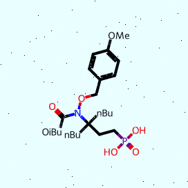 CCCCC(CCCC)(CCP(=O)(O)O)N(OCc1ccc(OC)cc1)C(=O)OCC(C)C